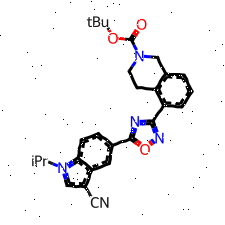 CC(C)n1cc(C#N)c2cc(-c3nc(-c4cccc5c4CCN(C(=O)OC(C)(C)C)C5)no3)ccc21